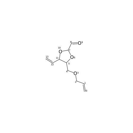 C=CCOCC1OC(C=O)OC1C=C